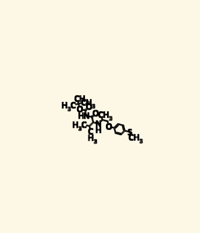 CSc1ccc(OCC(C)N[C@H](C(=O)NC(=O)OC(C)(C)C)C(C)C)cc1